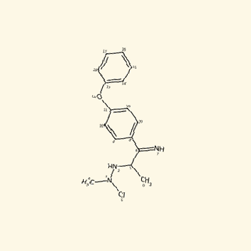 CC(NN(C)Cl)C(=N)c1ccc(Oc2ccccc2)cc1